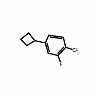 Fc1cc(C2CCC2)ccc1C(F)(F)F